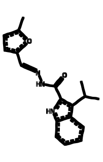 Cc1ccc(C=NNC(=O)c2[nH]c3ccccc3c2C(C)C)o1